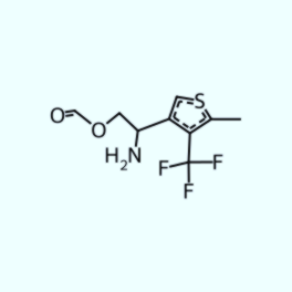 Cc1scc(C(N)COC=O)c1C(F)(F)F